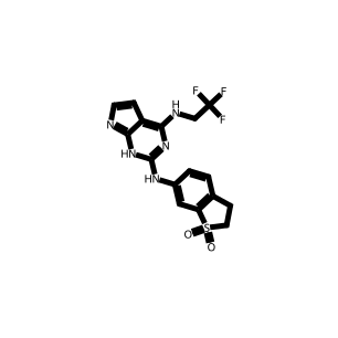 O=S1(=O)CCc2ccc(Nc3nc(NCC(F)(F)F)c4ccnc-4[nH]3)cc21